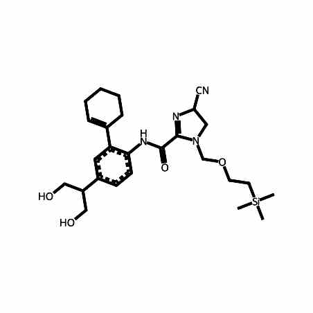 C[Si](C)(C)CCOCN1CC(C#N)N=C1C(=O)Nc1ccc(C(CO)CO)cc1C1=CCCCC1